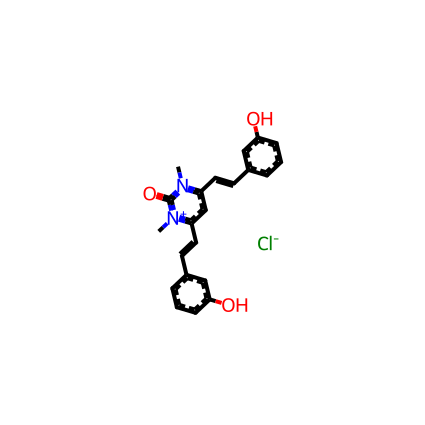 Cn1c(C=Cc2cccc(O)c2)cc(C=Cc2cccc(O)c2)[n+](C)c1=O.[Cl-]